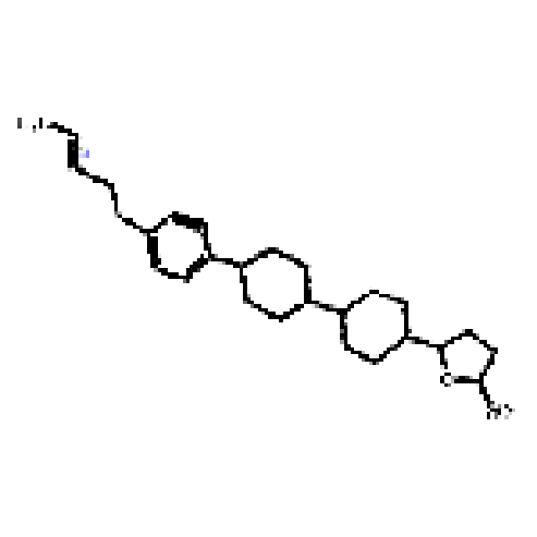 C/C=C/CCc1ccc(C2CCC(C3CCC(C4CCC(CCC)O4)CC3)CC2)cc1